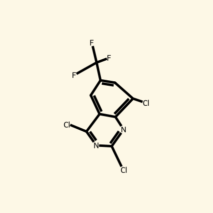 FC(F)(F)c1cc(Cl)c2nc(Cl)nc(Cl)c2c1